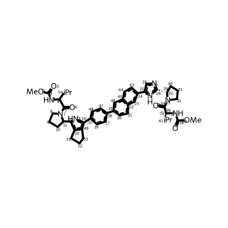 COC(=O)NC(C(=O)N1CCCC1c1[nH]c(-c2ccc(-c3ccc4cc(-c5cnc([C@@H]6CCCN6C(=O)[C@@H](NC(=O)OC)C(C)C)[nH]5)ccc4c3)cc2)c2c1CCC2)C(C)C